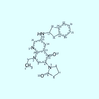 CCn1cc(N2CCCC2=O)c(=O)c2cc(NC3Cc4ccccc4C3)cnc21